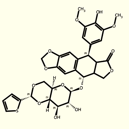 COc1cc([C@@H]2c3cc4c(cc3[C@@H](O[C@@H]3O[C@@H]5CO[C@@H](c6cccs6)O[C@H]5[C@H](O)[C@H]3O)C3COC(=O)C32)OCO4)cc(OC)c1O